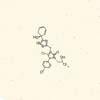 O=c1n(Cc2n[nH]c([C@@]3(O)C=CC=CC3)n2)c(Cl)c(-c2ccc(Cl)cc2)n1CC(O)C(F)(F)F